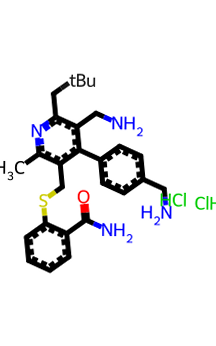 Cc1nc(CC(C)(C)C)c(CN)c(-c2ccc(CN)cc2)c1CSc1ccccc1C(N)=O.Cl.Cl